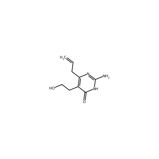 C=CCc1nc(N)[nH]c(=O)c1CCO